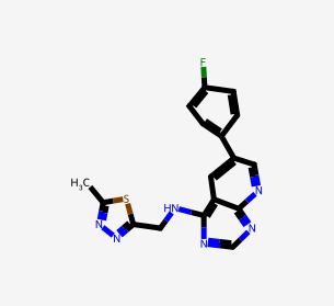 Cc1nnc(CNc2ncnc3ncc(-c4ccc(F)cc4)cc23)s1